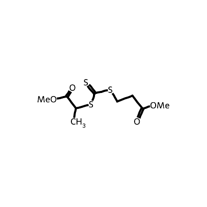 COC(=O)CCSC(=S)SC(C)C(=O)OC